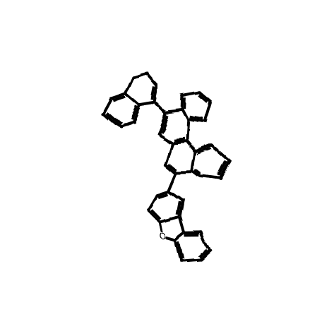 C1=C(c2cc3cc(-c4ccc5oc6ccccc6c5c4)c4ccccc4c3c3ccccc23)c2ccccc2CC1